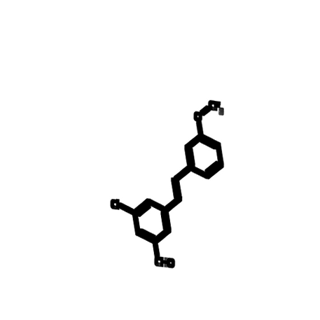 O=Cc1cc(Cl)cc(/C=C/c2cccc(OC(F)(F)F)c2)c1